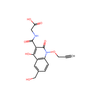 C#CCOn1c(=O)c(C(=O)NCC(=O)O)c(O)c2cc(CO)ccc21